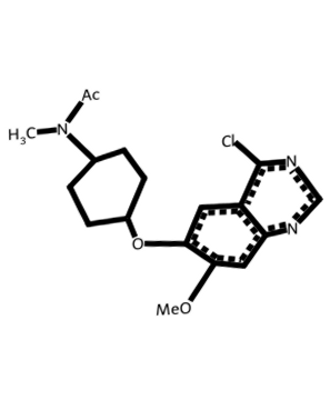 COc1cc2ncnc(Cl)c2cc1OC1CCC(N(C)C(C)=O)CC1